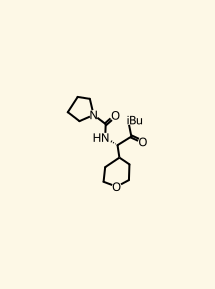 CCC(C)C(=O)[C@@H](NC(=O)N1CCCC1)C1CCOCC1